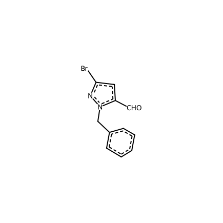 O=Cc1cc(Br)nn1Cc1ccccc1